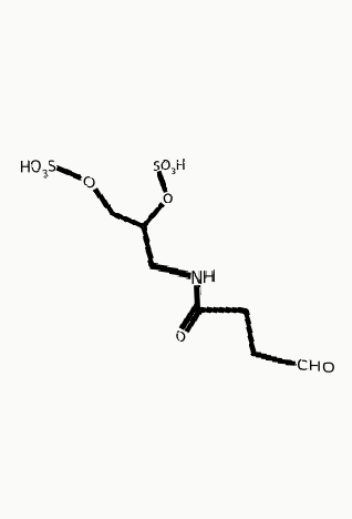 O=CCCC(=O)NCC(COS(=O)(=O)O)OS(=O)(=O)O